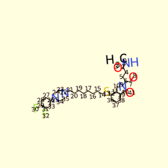 CNC(=O)CCC(C=O)N1Cc2c(SCCCCCCCCN3CCN(c4ccc(F)c(F)c4)CC3)cccc2C1=O